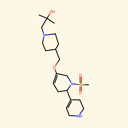 CC(C)(O)CN1CCC(COC2=CCC(C3=CCNCC3)N(S(C)(=O)=O)C2)CC1